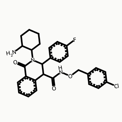 NC1CCCCC1N1C(=O)c2ccccc2C(C(=O)NOCc2ccc(Cl)cc2)C1c1ccc(F)cc1